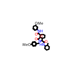 COc1ccc(CN2C(=O)C3C(C(=O)NC4=CC(OC)CC=C4)C4CCC3(O4)C2C(=O)NC2CCCCC2C)cc1